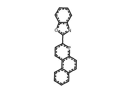 c1ccc2c(c1)ccc1pc(-c3nc4ccccc4o3)ccc12